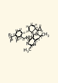 C=C1C=c2nc(C)nc(NCc3cccc(C(F)F)c3F)c2=CN1C1(C2C=CC=CC2)CC1